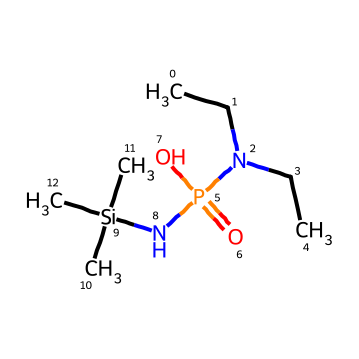 CCN(CC)P(=O)(O)N[Si](C)(C)C